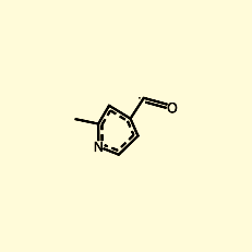 Cc1cc([C]=O)ccn1